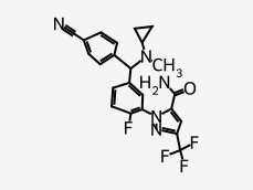 CN(C1CC1)C(c1ccc(C#N)cc1)c1ccc(F)c(-n2nc(C(F)(F)F)cc2C(N)=O)c1